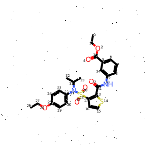 CCOC(=O)c1cccc(NC(=O)c2sccc2S(=O)(=O)N(c2ccc(OCC)cc2)C(C)C)c1